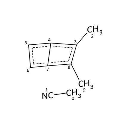 CC#N.Cc1c2ccc-2c1C